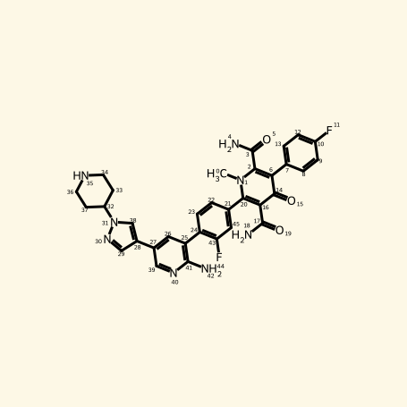 Cn1c(C(N)=O)c(-c2ccc(F)cc2)c(=O)c(C(N)=O)c1-c1ccc(-c2cc(-c3cnn(C4CCNCC4)c3)cnc2N)c(F)c1